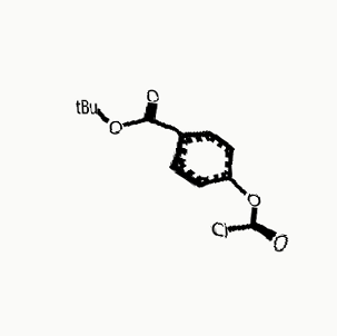 CC(C)(C)OC(=O)c1ccc(OC(=O)Cl)cc1